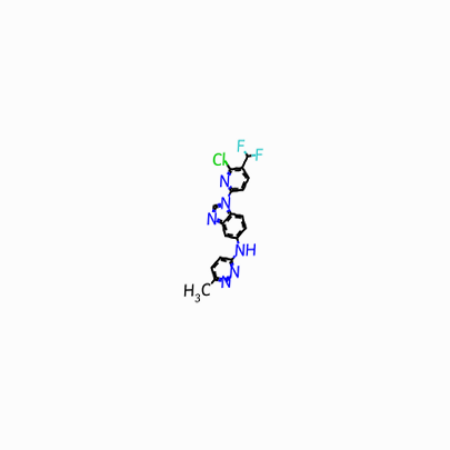 Cc1ccc(Nc2ccc3c(c2)ncn3-c2ccc(C(F)F)c(Cl)n2)nn1